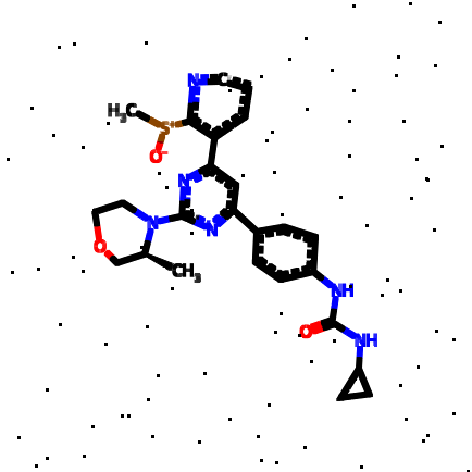 C[C@H]1COCCN1c1nc(-c2ccc(NC(=O)NC3CC3)cc2)cc(-c2cccnc2[S+](C)[O-])n1